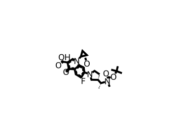 COc1c(N2CC[C@H]([C@@H](C)N(C)C(=O)OC(C)(C)C)C2)c(F)cc2c(=O)c(C(=O)O)cn(C3CC3)c12